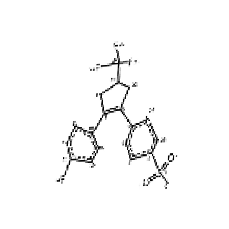 CS(=O)(=O)c1ccc(C2=C(c3ccc(F)cc3)CC(C(F)(F)F)C2)nc1